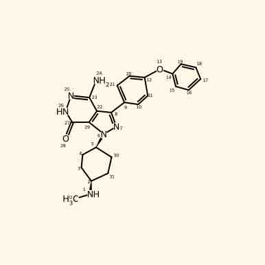 CN[C@H]1CC[C@@H](n2nc(-c3ccc(Oc4ccccc4)cc3)c3c(N)n[nH]c(=O)c32)CC1